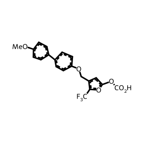 COc1ccc(-c2ccc(OCc3cc(OC(=O)O)oc3C(F)(F)F)cc2)cc1